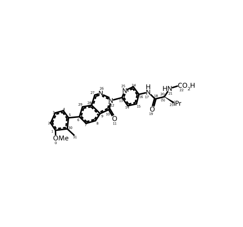 COc1cccc(-c2ccc3c(=O)n(-c4ccc(NC(=O)[C@@H](NC(=O)O)C(C)C)cn4)ncc3c2)c1C